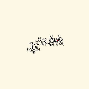 CC1(C)[C@@H]2CC[C@@]1(C)C(Nc1nc(Cl)nc3c1ncn3[C@@H]1O[C@H](CNP(=O)(O)CP(=O)(O)O)C(O)C1O)C2